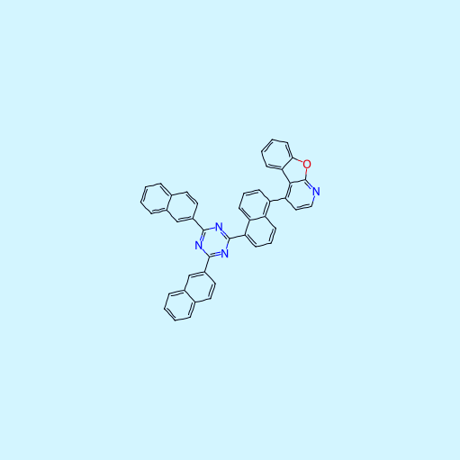 c1ccc2cc(-c3nc(-c4ccc5ccccc5c4)nc(-c4cccc5c(-c6ccnc7oc8ccccc8c67)cccc45)n3)ccc2c1